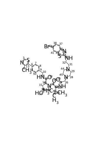 Cc1ncsc1-c1ccc(CNC(=O)[C@@H]2C[C@@H](O)CN2C(=O)[C@@H](NC(=O)CN2CCN(CCNc3nc4ccc(Br)cc4s3)CC2)C(C)(C)C)cc1